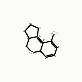 OC1=CC=CC2OCC3CCCC3=C12